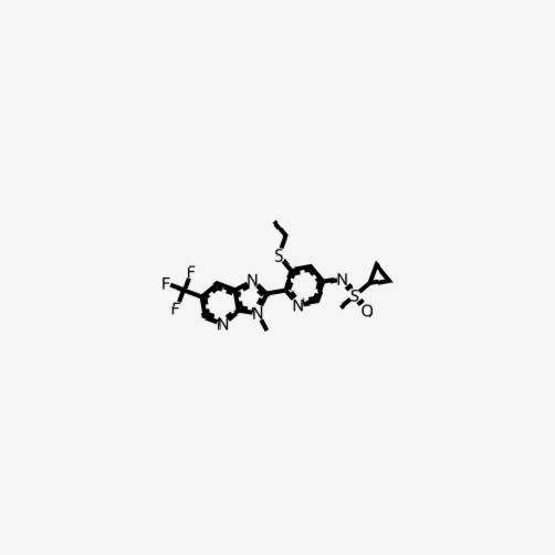 CCSc1cc(N=S(C)(=O)C2CC2)cnc1-c1nc2cc(C(F)(F)F)cnc2n1C